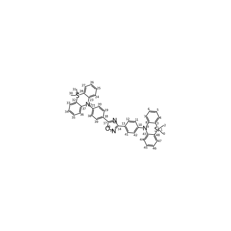 C[Si]1(C)c2ccccc2N(c2ccc(-c3noc(-c4ccc(N5c6ccccc6S(C)(C)c6ccccc65)cc4)n3)cc2)c2ccccc21